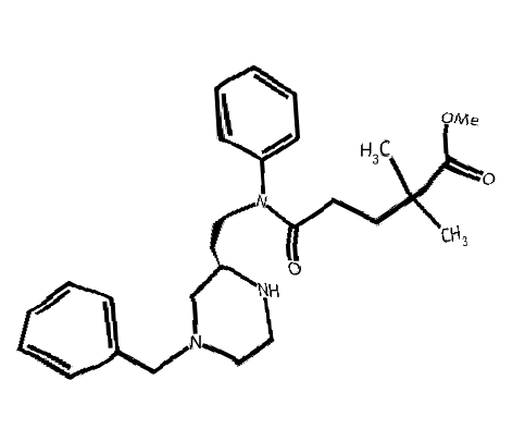 COC(=O)C(C)(C)CCC(=O)N(C[C@@H]1CN(Cc2ccccc2)CCN1)c1ccccc1